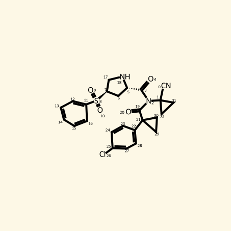 N#CC1(N(C(=O)[C@@H]2C[C@@H](S(=O)(=O)c3ccccc3)CN2)C(=O)C2(c3ccc(Cl)cc3)CC2)CC1